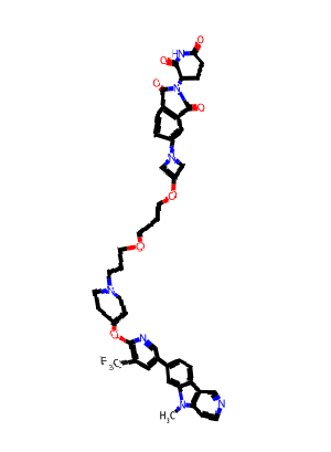 Cn1c2ccncc2c2ccc(-c3cnc(OC4CCN(CCCOCCCOC5CN(c6ccc7c(c6)C(=O)N(C6CCC(=O)NC6=O)C7=O)C5)CC4)c(C(F)(F)F)c3)cc21